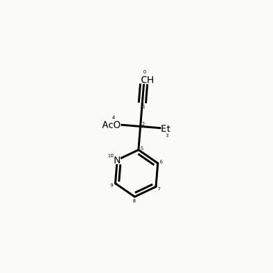 C#CC(CC)(OC(C)=O)c1ccccn1